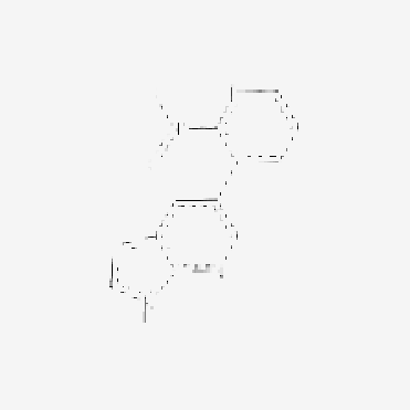 O=[N+]([O-])c1ncccc1-c1cnc2[nH]ccc2c1